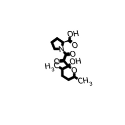 CC1CCC(C)C(O)(C(=O)C(=O)N2CCC[C@H]2C(=O)O)O1